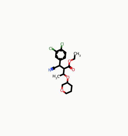 CCOC(=O)C(C(C)OC1CCCOC1)C(C#N)c1ccc(Cl)c(Cl)c1